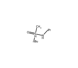 CCCC[SH](C)(=O)NC(C)C